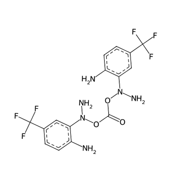 Nc1ccc(C(F)(F)F)cc1N(N)OC(=O)ON(N)c1cc(C(F)(F)F)ccc1N